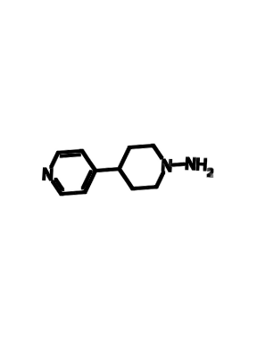 NN1CCC(c2ccncc2)CC1